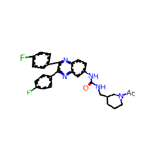 CC(=O)N1CCCC(CNC(=O)Nc2ccc3nc(-c4ccc(F)cc4)c(-c4ccc(F)cc4)nc3c2)C1